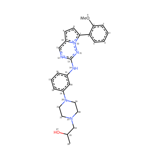 COc1ccccc1-c1ccc2cnc(Nc3cccc(N4CCN(CC(C)O)CC4)c3)nn12